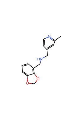 Cc1cc(CNCc2cccc3c2OCO3)ccn1